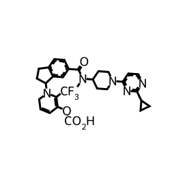 CN(C(=O)c1ccc2c(c1)C(N1CC=CC(OC(=O)O)=C1C(F)(F)F)CC2)C1CCN(c2ccnc(C3CC3)n2)CC1